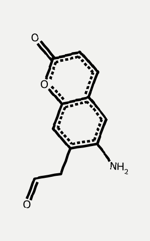 Nc1cc2ccc(=O)oc2cc1CC=O